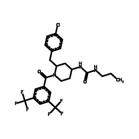 CCCNC(=O)NC1CCN(C(=O)c2cc(C(F)(F)F)cc(C(F)(F)F)c2)C(Cc2ccc(Cl)cc2)C1